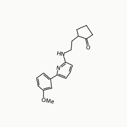 COc1cccc(-c2cccc(NCCC3CCCC3=O)n2)c1